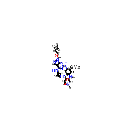 C=CC(=O)Nc1cc(Nc2nc(NC34CC(C3)C4)c3cnn(COCC[Si](C)(C)C)c3n2)c(OC)cc1N(C)CCN(C)C